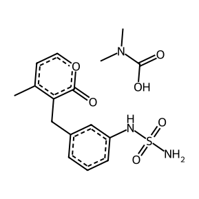 CN(C)C(=O)O.Cc1ccoc(=O)c1Cc1cccc(NS(N)(=O)=O)c1